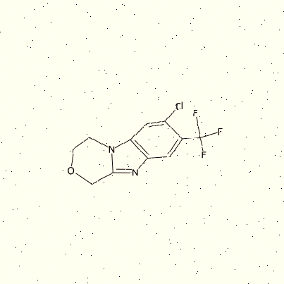 FC(F)(F)c1cc2nc3n(c2cc1Cl)CCOC3